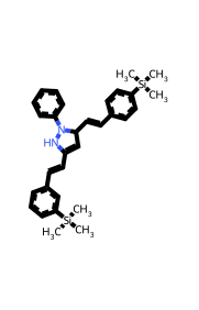 C[Si](C)(C)c1ccc(C=CC2C=C(C=Cc3cccc([Si](C)(C)C)c3)NN2c2ccccc2)cc1